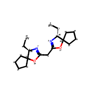 CC(C)C[C@H]1N=C(CC2=N[C@H](CC(C)C)C3(CCCC3)O2)OC12CCCC2